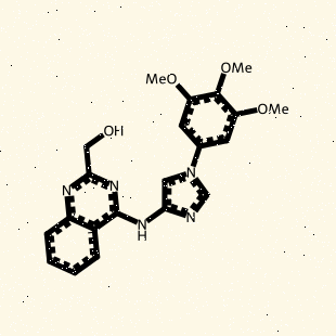 COc1cc(-n2cnc(Nc3nc(CO)nc4ccccc34)c2)cc(OC)c1OC